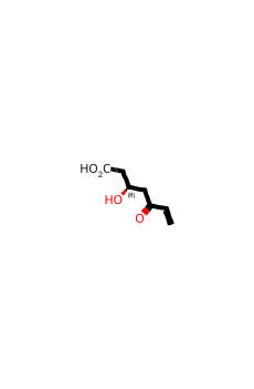 C=CC(=O)C[C@@H](O)CC(=O)O